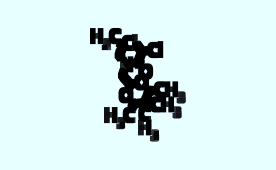 C=CCN(CC1OC(C)C(C)(C)C(C)O1)C(=O)C(Cl)Cl